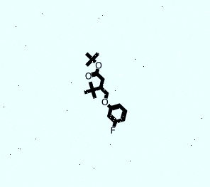 CC(C)(C)OC(=O)CC(COc1cccc(F)c1)C(C)(C)C